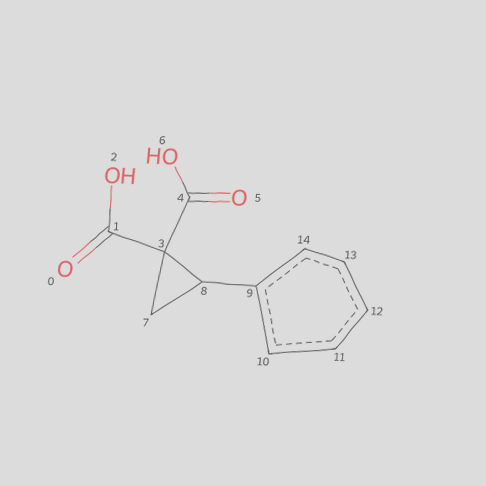 O=C(O)C1(C(=O)O)CC1c1ccccc1